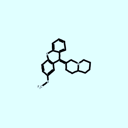 FC(F)(F)Sc1ccc2c(c1)C(=C1CCC3CCCCN3C1)c1ccccc1S2